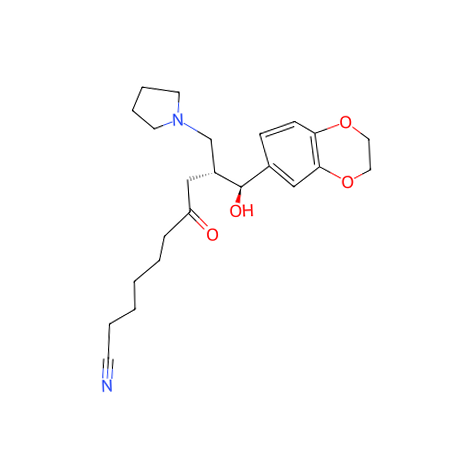 N#CCCCCCC(=O)C[C@H](CN1CCCC1)[C@H](O)c1ccc2c(c1)OCCO2